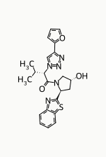 CC(C)[C@@H](C(=O)N1C[C@H](O)C[C@H]1c1nc2ccccc2s1)n1cc(-c2ccco2)nn1